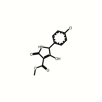 COC(=O)C1=C(O)C(c2ccc(Cl)cc2)NC1=O